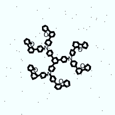 c1ccc2c(c1)oc1c(-c3ccc(N(c4ccc(-c5cc(-c6ccc(N(c7ccc(-c8cccc9c8oc8ccccc89)cc7)c7ccc(-c8cccc9c8oc8ccccc89)cc7)cc6)cc(-c6ccc(N(c7ccc(-c8cccc9c8oc8ccccc89)cc7)c7ccc(-c8cccc9c8oc8ccccc89)cc7)cc6)c5)cc4)c4ccc(-c5cccc6c5oc5ccccc56)cc4)cc3)cccc12